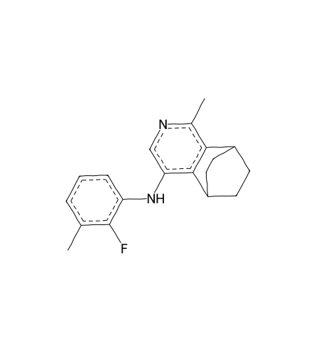 Cc1cccc(Nc2cnc(C)c3c2C2CCC3CC2)c1F